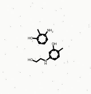 Cc1c(N)cccc1O.Cc1ccc(NCCO)cc1O